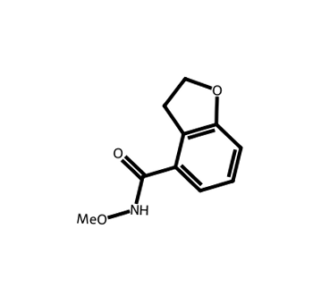 CONC(=O)c1cccc2c1CCO2